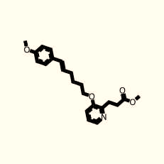 COC(=O)CCc1ncccc1OCCCCC=Cc1ccc(OC)cc1